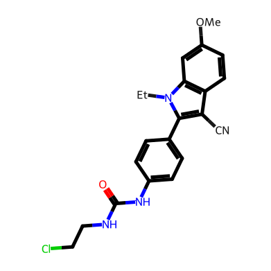 CCn1c(-c2ccc(NC(=O)NCCCl)cc2)c(C#N)c2ccc(OC)cc21